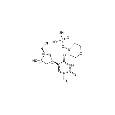 Cc1cn([C@H]2C[C@H](O)[C@@H](CO)O2)c(=O)[nH]c1=O.O=P(O)(S)ON1CCOCC1